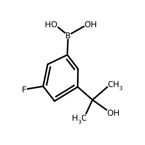 CC(C)(O)c1cc(F)cc(B(O)O)c1